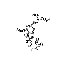 COc1nc(SC[C@H](O)C(=O)O)cnc1NS(=O)(=O)c1cccc(Cl)c1Cl